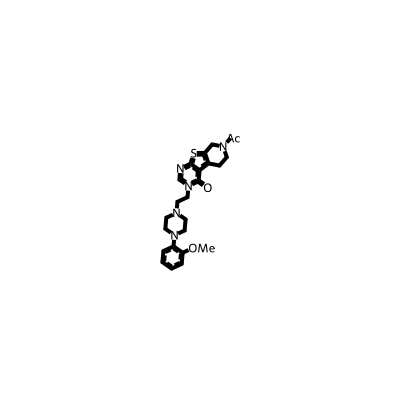 COc1ccccc1N1CCN(CCn2cnc3sc4c(c3c2=O)CCN(C(C)=O)C4)CC1